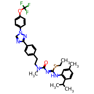 CCS/C(=N\C(=O)N(C)CCc1ccc(-c2ncn(-c3ccc(OC(F)(F)F)cc3)n2)cc1)Nc1cc(C)ccc1C(C)C